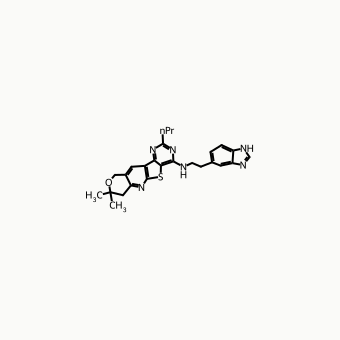 CCCc1nc(NCCc2ccc3[nH]cnc3c2)c2sc3nc4c(cc3c2n1)COC(C)(C)C4